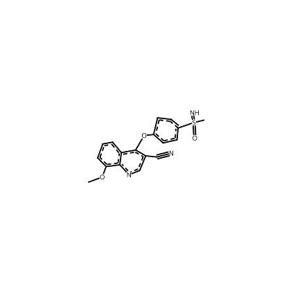 COc1cccc2c(Oc3ccc(S(C)(=N)=O)cc3)c(C#N)cnc12